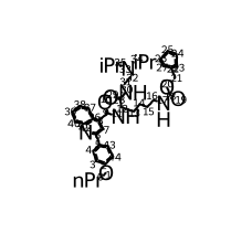 CCCOc1ccc(-c2cc(C(=O)NC(CCCCNC(=O)OCc3ccccc3)C(=O)NCCN(C(C)C)C(C)C)c3ccccc3n2)cc1